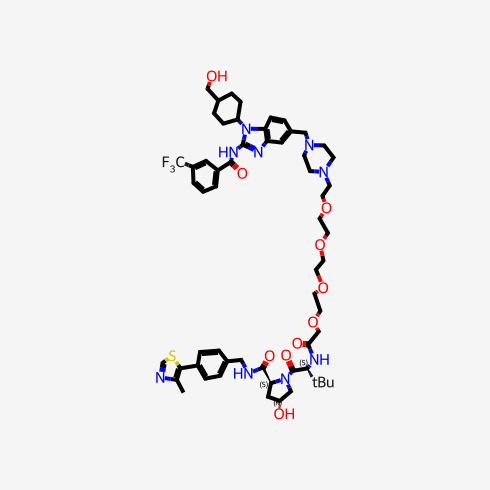 Cc1ncsc1-c1ccc(CNC(=O)[C@@H]2C[C@@H](O)CN2C(=O)[C@@H](NC(=O)COCCOCCOCCOCCN2CCN(Cc3ccc4c(c3)nc(NC(=O)c3cccc(C(F)(F)F)c3)n4C3CCC(CO)CC3)CC2)C(C)(C)C)cc1